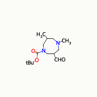 CC1CN(C)CC(C=O)CN(C(=O)OC(C)(C)C)C1